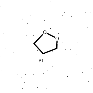 C1COOC1.[Pt]